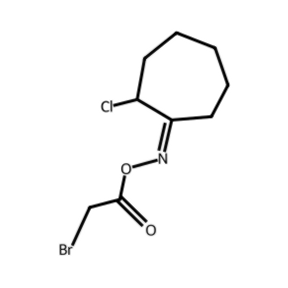 O=C(CBr)ON=C1CCCCCC1Cl